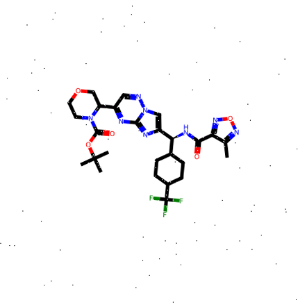 Cc1nonc1C(=O)N[C@H](c1cn2ncc(C3COCCN3C(=O)OC(C)(C)C)nc2n1)C1CCC(C(F)(F)F)CC1